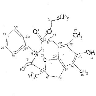 CCOC(=O)CN(C(=O)C1(C)CCc2c(C)c(O)c(C)c(C)c2O1)c1ccccc1